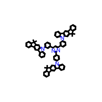 CC1(C)c2ccccc2-c2cc3c4ccccc4n(-c4ccc(-c5nc(-c6cccc(-n7c8ccccc8c8cc9c(cc87)C(C)(C)c7ccccc7-9)c6)cc(-c6cccc(-n7c8ccccc8c8cc9c(cc87)C(C)(C)c7ccccc7-9)c6)n5)cc4)c3cc21